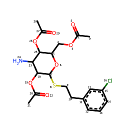 CC(=O)OCC1OC(SCCc2cccc(Cl)c2)C(OC(C)=O)C(N)C1OC(C)=O